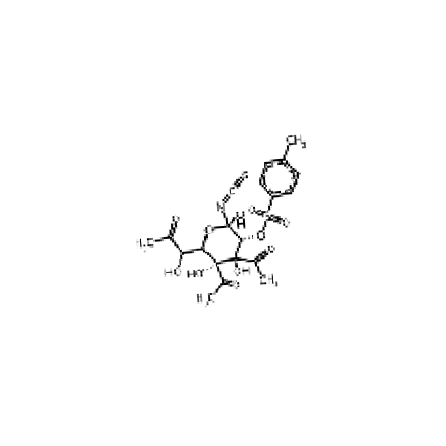 CC(=O)C(O)[C@H]1O[C@](O)(N=C=S)[C@H](OS(=O)(=O)c2ccc(C)cc2)[C@](O)(C(C)=O)[C@@]1(O)C(C)=O